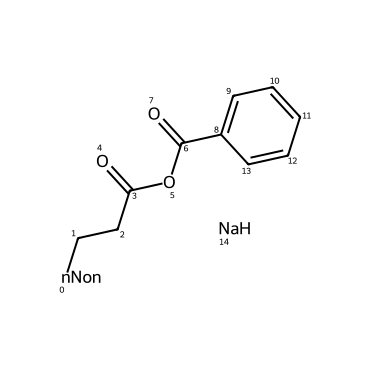 CCCCCCCCCCCC(=O)OC(=O)c1ccccc1.[NaH]